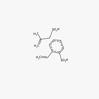 C=C(C)CS(=O)(=O)O.C=Cc1ccccc1S(=O)(=O)O